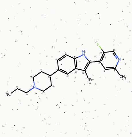 Cc1cc(-c2[nH]c3ccc(C4CCN(CCC#N)CC4)cc3c2C(C)C)c(F)cn1